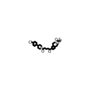 O=C(CCCC(=O)N1CCC(c2ccc(Cl)cc2)CC1)c1ccc2c(c1)CCN(C(=O)C(F)(F)F)CC2